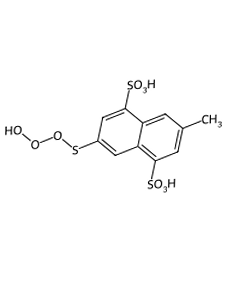 Cc1cc(S(=O)(=O)O)c2cc(SOOO)cc(S(=O)(=O)O)c2c1